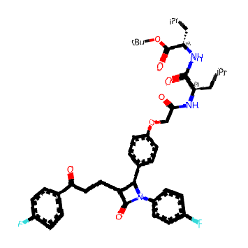 CC(C)C[C@H](NC(=O)[C@@H](CC(C)C)NC(=O)COc1ccc(C2C(CCC(=O)c3ccc(F)cc3)C(=O)N2c2ccc(F)cc2)cc1)C(=O)OC(C)(C)C